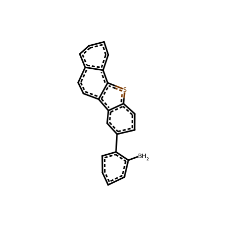 Bc1ccccc1-c1ccc2sc3c4ccccc4ccc3c2c1